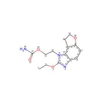 CCOc1nc2ccc3c(c2n1CCOC(N)=O)CCO3